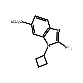 CCOC(=O)c1ccc2nc(N)n(C3CCC3)c2c1